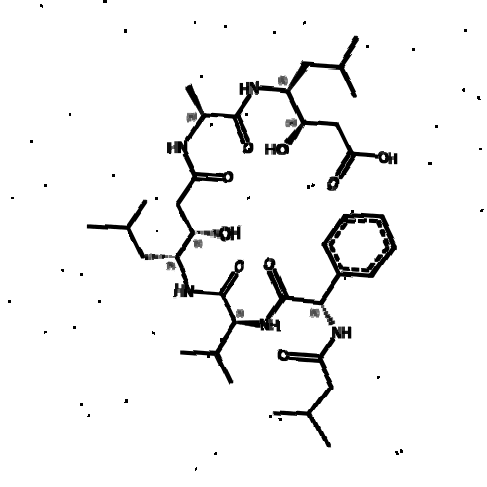 CC(C)CC(=O)N[C@H](C(=O)N[C@H](C(=O)N[C@H](CC(C)C)[C@@H](O)CC(=O)N[C@@H](C)C(=O)N[C@@H](CC(C)C)[C@H](O)CC(=O)O)C(C)C)c1ccccc1